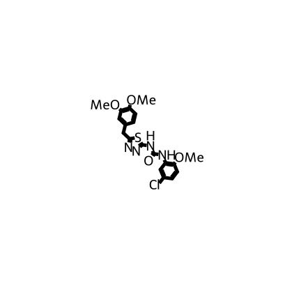 COc1ccc(Cl)cc1NC(=O)Nc1nnc(Cc2ccc(OC)c(OC)c2)s1